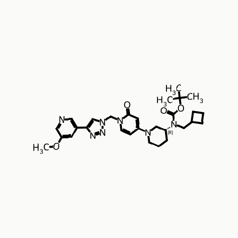 COc1cncc(-c2cn(Cn3ccc(N4CCC[C@@H](N(CC5CCC5)C(=O)OC(C)(C)C)C4)cc3=O)nn2)c1